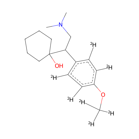 [2H]c1c([2H])c(C(CN(C)C)C2(O)CCCCC2)c([2H])c([2H])c1OC([2H])([2H])[2H]